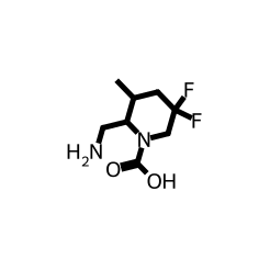 CC1CC(F)(F)CN(C(=O)O)C1CN